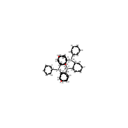 c1ccc([As](c2ccccc2)c2ccccc2[As](c2ccccc2)c2ccccc2[As](c2ccccc2)c2ccccc2)cc1